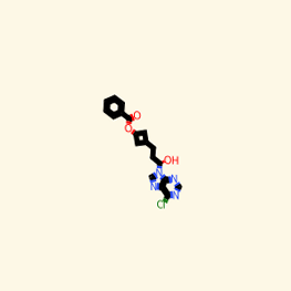 O=C(OC1CC(CC[C@@H](O)n2cnc3c(Cl)ncnc32)C1)c1ccccc1